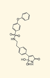 O=C1C=C(c2ccc(CCNS(=O)(=O)c3ccc(Oc4ccccc4)cc3)cc2)S(O)(O)N1